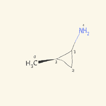 C[C@@H]1CC1N